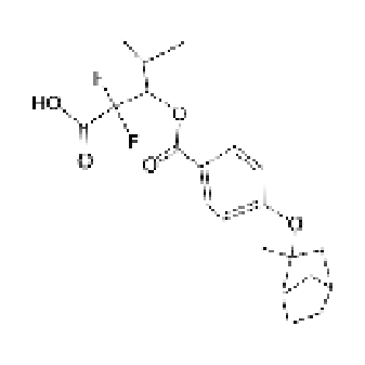 CC(C)C(OC(=O)c1ccc(OC2(C)CC3CCC2C3)cc1)C(F)(F)C(=O)O